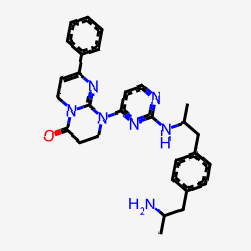 CC(N)Cc1ccc(CC(C)Nc2nccc(N3CCC(=O)N4CC=C(c5ccccc5)N=C43)n2)cc1